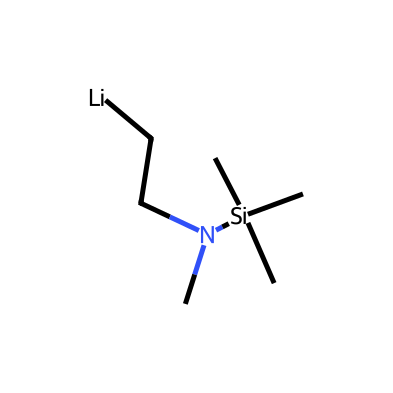 [Li][CH2]CN(C)[Si](C)(C)C